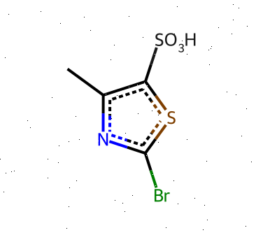 Cc1nc(Br)sc1S(=O)(=O)O